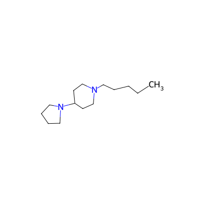 CCCCCN1CCC(N2CCCC2)CC1